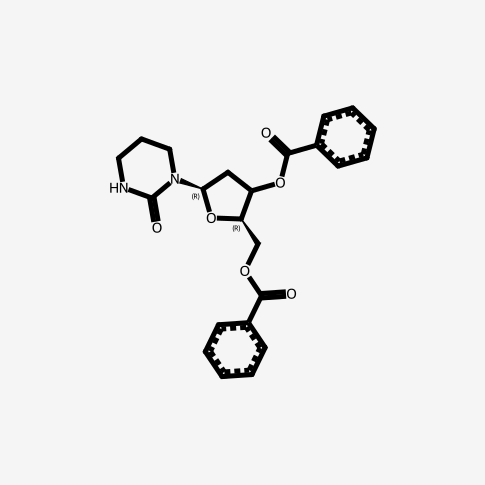 O=C(OC[C@H]1O[C@@H](N2CCCNC2=O)CC1OC(=O)c1ccccc1)c1ccccc1